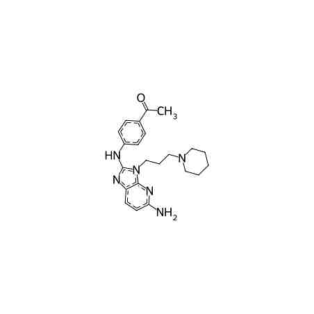 CC(=O)c1ccc(Nc2nc3ccc(N)nc3n2CCCN2CCCCC2)cc1